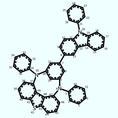 c1ccc(N2c3cc(-c4ccc5c(c4)c4ccccc4n5-c4ccccc4)cc(c3)N(c3ccccc3)c3cccc4sc5cccc2c5c34)cc1